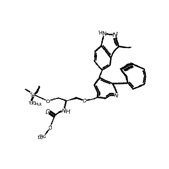 Cc1n[nH]c2ccc(-c3cc(OC[C@H](CO[Si](C)(C)C(C)(C)C)NC(=O)OC(C)(C)C)cnc3-c3ccccc3)cc12